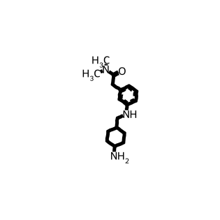 CN(C)C(=O)Cc1cccc(NCC2CCC(N)CC2)c1